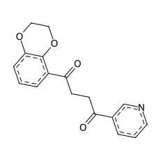 O=C(CCC(=O)c1cccc2c1OCCO2)c1cccnc1